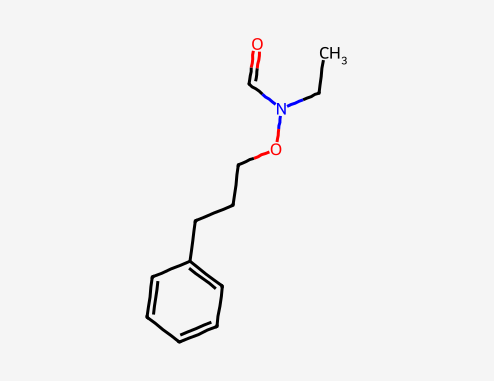 CCN(C=O)OCCCc1ccccc1